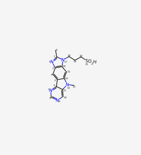 Cc1nc2cc3c4ncncc4n(C)c3cc2n1CCCS(=O)(=O)O